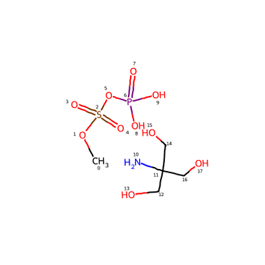 COS(=O)(=O)OP(=O)(O)O.NC(CO)(CO)CO